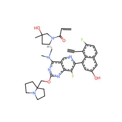 C#Cc1c(F)ccc2cc(O)cc(-c3ncc4c(N(C)C[C@@H]5CC(C)(O)CN5C(=O)C=C)nc(OCC56CCCN5CCC6)nc4c3F)c12